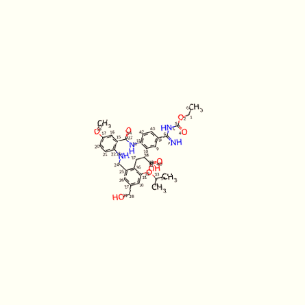 CCOC(=O)NC(=N)c1ccc(NC(=O)c2cc(OC)ccc2NCc2cc(CO)cc(OC(C)C)c2CCC(=O)O)cc1